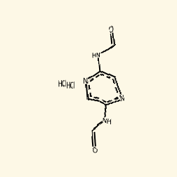 Cl.Cl.O=CNc1cnc(NC=O)cn1